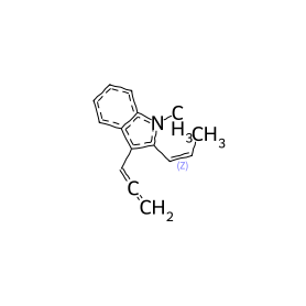 C=C=Cc1c(/C=C\C)n(C)c2ccccc12